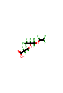 O=C(O)C(F)(F)C(F)(F)OC(F)(C(F)(F)F)C(F)(F)OC(F)=C(F)F